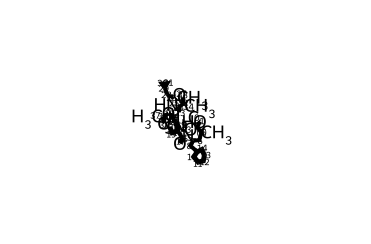 COC(=O)[C@@H](C)CC(Cc1ccccc1)NC(=O)c1csc([C@@H](CC(NC(=O)CC2CC2)C(C)C)OC(C)=O)n1